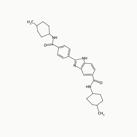 CC1CCC(NC(=O)c2ccc(-c3nc4cc(C(=O)NC5CCC(C)CC5)ccc4[nH]3)cc2)CC1